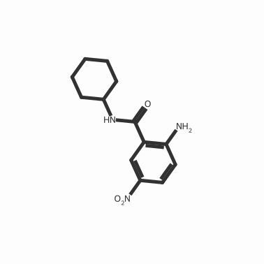 Nc1ccc([N+](=O)[O-])cc1C(=O)NC1CCCCC1